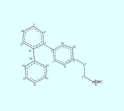 CCCCCCCCCCCCc1ccc(-c2ccccc2-c2ccccc2)cc1